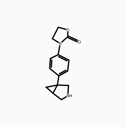 O=C1OCCN1c1ccc(C23CNCC2C3)cc1